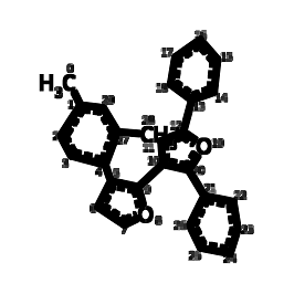 Cc1ccc(-c2ccoc2-c2cc(-c3ccccc3)oc2-c2ccccc2)c(C)c1